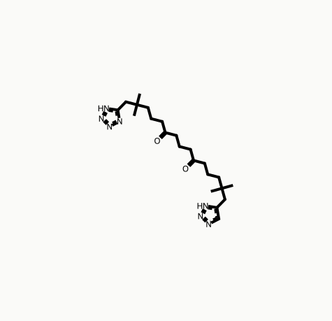 CC(C)(CCCC(=O)CCCC(=O)CCCC(C)(C)Cc1nnn[nH]1)Cc1cnn[nH]1